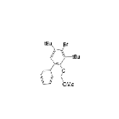 COCOc1c(-c2ccccc2)cc(C(C)(C)C)c(Br)c1C(C)(C)C